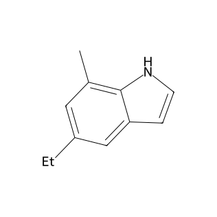 CCc1cc(C)c2[nH]ccc2c1